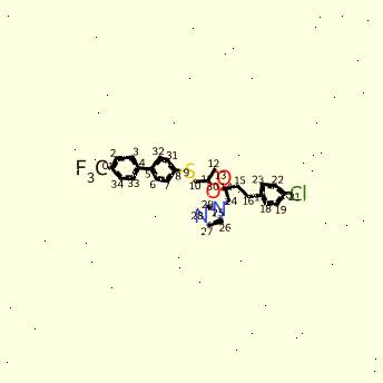 FC(F)(F)c1ccc(-c2ccc(SCC3COC(CCc4ccc(Cl)cc4)(Cn4ccnc4)O3)cc2)cc1